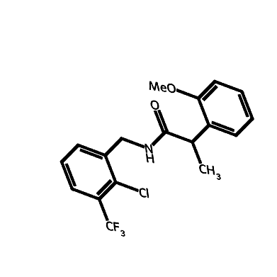 COc1ccccc1C(C)C(=O)NCc1cccc(C(F)(F)F)c1Cl